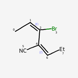 C/C=C(Br)\C(C#N)=C/CC